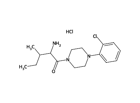 CCC(C)C(N)C(=O)N1CCN(c2ccccc2Cl)CC1.Cl